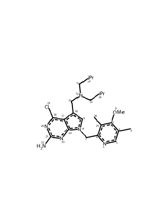 COc1c(C)cnc(Cn2cc(CN(CC(C)C)CC(C)C)c3c(Cl)nc(N)nc32)c1C